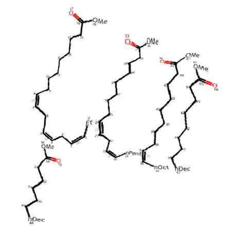 CC/C=C\C/C=C\C/C=C\CCCCCCCC(=O)OC.CCCCC/C=C\C/C=C\CCCCCCCC(=O)OC.CCCCCCCC/C=C\CCCCCCCC(=O)OC.CCCCCCCCCCCCCCCC(=O)OC.CCCCCCCCCCCCCCCCCC(=O)OC